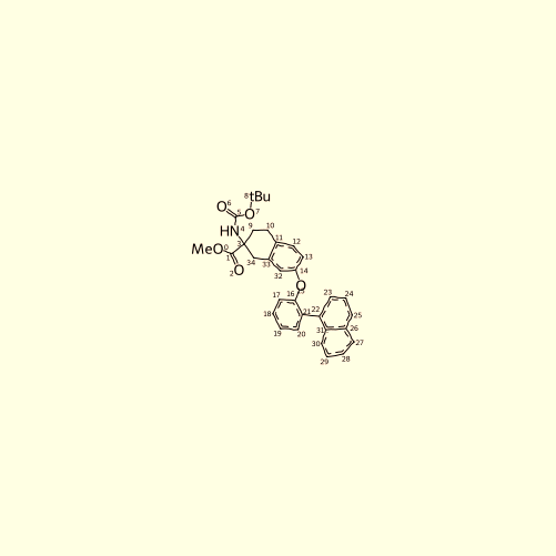 COC(=O)C1(NC(=O)OC(C)(C)C)CCc2ccc(Oc3ccccc3-c3cccc4ccccc34)cc2C1